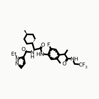 CCn1nccc1C(=O)N[C@H](C(=O)Nc1cc(C)c(C(C)C(=O)NCC(F)(F)F)cc1F)[C@H]1CC[C@H](C)CC1